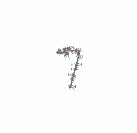 COc1cccc(OC)c1-c1cc(C(=O)NC2(C(=O)O)C3CC4CC(C3)CC2C4)nn1-c1ccc(C(=O)N(C)CCCN(C)CCCN(C)C(=S)Nc2ccc(NC(=S)NCCCCCN(O)C(O)CCC(=O)NCCCCCN(O)C(=O)CCC(=O)NCCCCCN(O)C(C)=O)cc2)cc1C(C)C